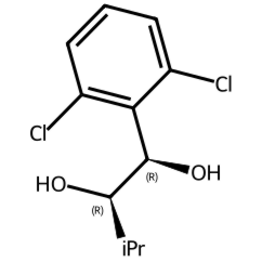 CC(C)[C@@H](O)[C@H](O)c1c(Cl)cccc1Cl